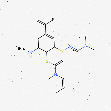 C=C(CC)C1=CC(S/N=C/N(C)C)C(SC(=C)N(C)/C=C\C)C(NCCCC)C1